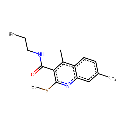 CCSc1nc2cc(C(F)(F)F)ccc2c(C)c1C(=O)NCCC(C)C